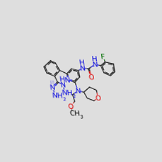 COCCN(c1cc(NC(=O)Nc2ccccc2F)cc(-c2ccccc2/C(=N/N)NN)n1)C1CCOCC1